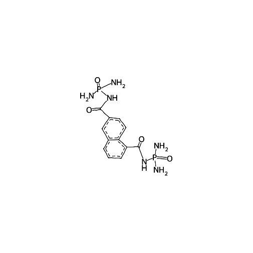 NP(N)(=O)NC(=O)c1ccc2c(C(=O)NP(N)(N)=O)cccc2c1